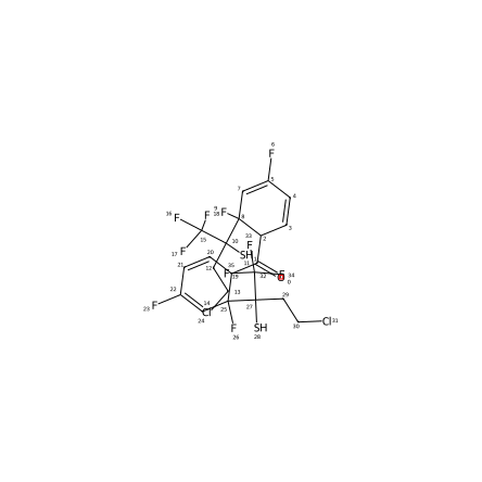 O=C(C1C=CC(F)=CC1(F)C(S)(CCCl)C(F)(F)F)C1C=CC(F)=CC1(F)C(S)(CCCl)C(F)(F)F